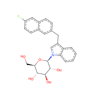 OC[C@H]1O[C@@H](n2cc(Cc3ccc4cc(F)ccc4c3)c3ccccc32)[C@H](O)[C@@H](O)[C@@H]1O